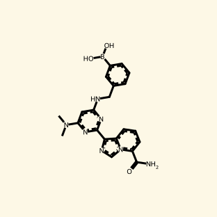 CN(C)c1cc(NCc2cccc(B(O)O)c2)nc(-c2ncn3c(C(N)=O)cccc23)n1